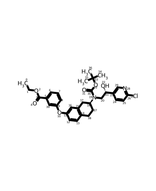 CCOC(=O)c1cccc(Oc2ccc3c(c2)C[C@@H](N(C[C@H](O)c2ccc(Cl)nc2)C(=O)OC(C)(C)C)CC3)c1